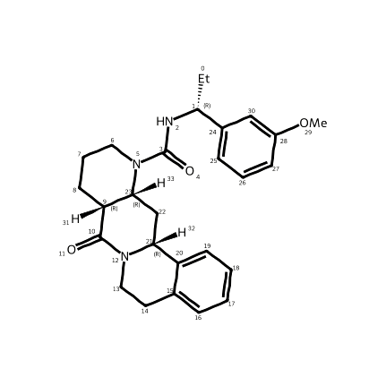 CC[C@@H](NC(=O)N1CCC[C@H]2C(=O)N3CCc4ccccc4[C@H]3C[C@H]21)c1cccc(OC)c1